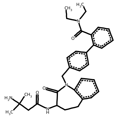 CCN(CC)C(=O)c1ccccc1-c1ccc(CN2C(=O)C(NC(=O)CC(C)(C)N)CCc3ccccc32)cc1